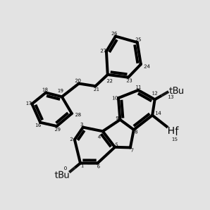 CC(C)(C)c1ccc2c(c1)Cc1c-2ccc(C(C)(C)C)[c]1[Hf].c1ccc(CCc2ccccc2)cc1